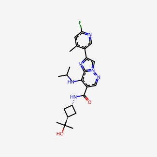 Cc1cc(F)ncc1-c1cn2ncc(C(=O)N[C@H]3C[C@H](C(C)(C)O)C3)c(NC(C)C)c2n1